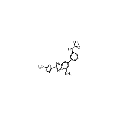 CC(=O)Nc1cccc(-c2cc(N)n3nc(-c4ccc(C)o4)nc3c2)c1